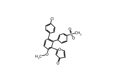 COc1ccc(-c2ccc(Cl)cc2)c(-c2ccc(S(C)(=O)=O)cc2)c1-c1cc(=O)cco1